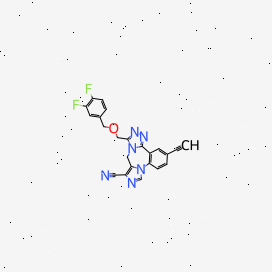 C#Cc1ccc2c(c1)-c1nnc(COCc3ccc(F)c(F)c3)n1Cc1c(C#N)ncn1-2